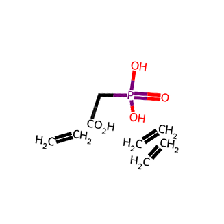 C=C.C=C.C=C.O=C(O)CP(=O)(O)O